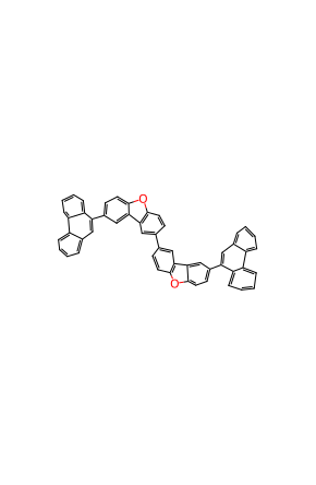 c1ccc2c(c1)cc(-c1ccc3oc4ccc(-c5ccc6oc7ccc(-c8cc9ccccc9c9ccccc89)cc7c6c5)cc4c3c1)c1ccccc12